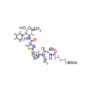 CNCCCCCC(=O)N[C@H](C(=O)N(C)[C@H](C[C@@H](OC(C)=O)c1nc(C(=O)N[C@@H](Cc2ccccc2)C[C@H](C)C(=O)O)cs1)C(C)C)C(C)(C)C